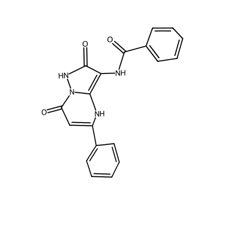 O=C(Nc1c(=O)[nH]n2c(=O)cc(-c3ccccc3)[nH]c12)c1ccccc1